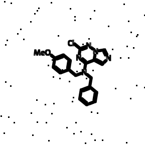 COc1ccc(CN(Cc2ccccc2)c2nc(Cl)nn3cncc23)cc1